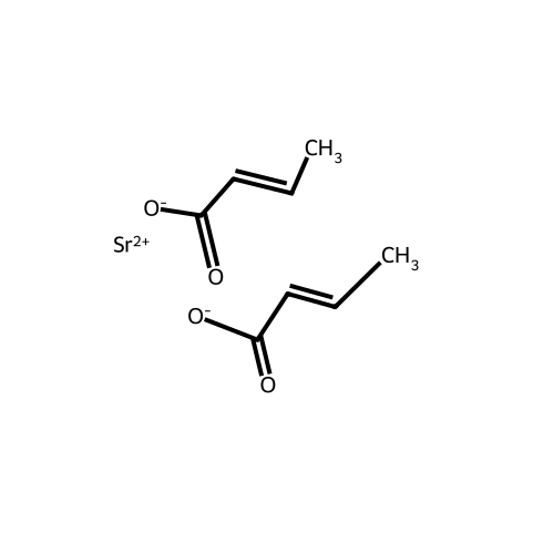 CC=CC(=O)[O-].CC=CC(=O)[O-].[Sr+2]